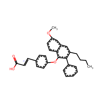 CCCCc1cc2cc(OC)ccc2c(Oc2ccc(/C=C/C(=O)O)cc2)c1-c1ccccc1